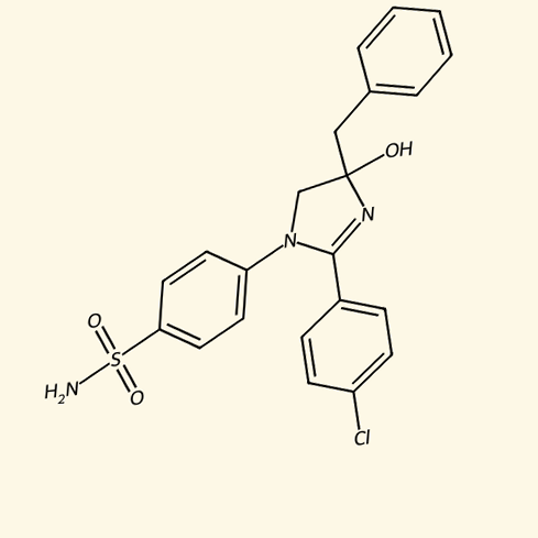 NS(=O)(=O)c1ccc(N2CC(O)(Cc3ccccc3)N=C2c2ccc(Cl)cc2)cc1